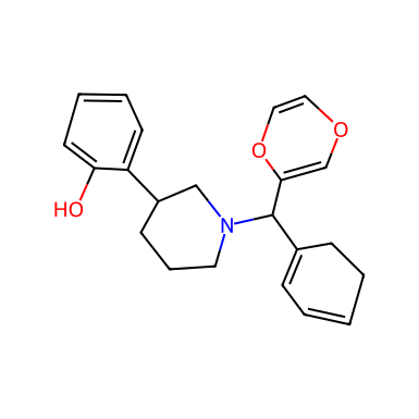 Oc1ccccc1C1CCCN(C(C2=CC=CCC2)C2=COC=CO2)C1